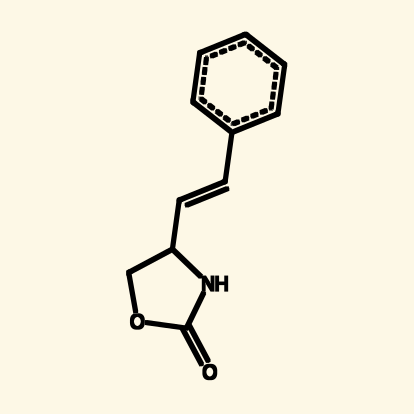 O=C1NC(C=Cc2ccccc2)CO1